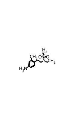 CCN(CCc1ccc(N)cc1C)S(C)(=O)=O